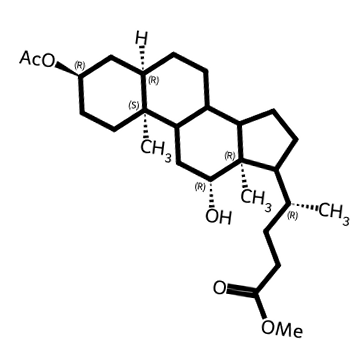 COC(=O)CC[C@@H](C)C1CCC2C3CC[C@@H]4C[C@H](OC(C)=O)CC[C@]4(C)C3C[C@@H](O)[C@@]21C